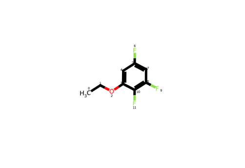 CCOc1cc(F)[c]c(F)c1F